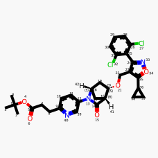 CC(C)(C)OC(=O)CCc1ccc(N2C(=O)[C@@H]3C[C@H]2C[C@@H]3OCc2c(-c3c(Cl)cccc3Cl)noc2C2CC2)cn1